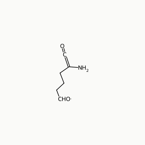 NC(=C=O)CCC[C]=O